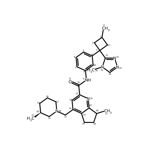 CC1CC(c2cccc(NC(=O)c3cc(CN4CCC[C@H](C)C4)c4c(n3)C(C)CC4)c2)(c2nncn2C)C1